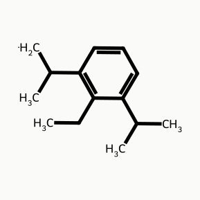 [CH2]C(C)c1cccc(C(C)C)c1CC